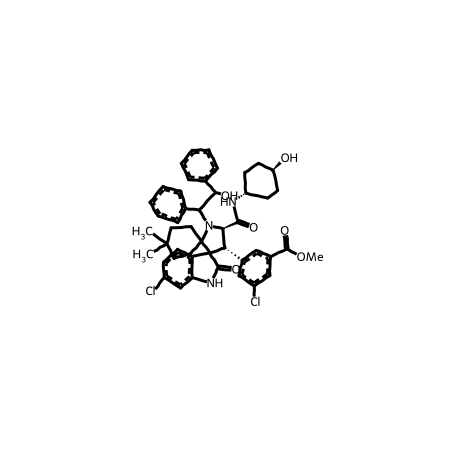 COC(=O)c1cc(Cl)cc([C@H]2[C@H](C(=O)N[C@H]3CC[C@H](O)CC3)N(C(c3ccccc3)C(O)c3ccccc3)C3(CCC(C)(C)CC3)C23C(=O)Nc2cc(Cl)ccc23)c1